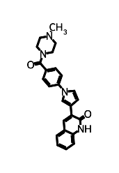 CN1CCN(C(=O)c2ccc(-n3ccc(-c4cc5ccccc5[nH]c4=O)c3)cc2)CC1